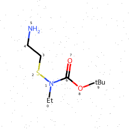 CCN(SCCN)C(=O)OC(C)(C)C